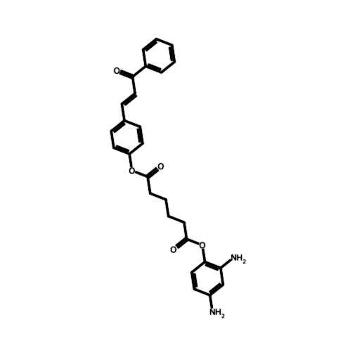 Nc1ccc(OC(=O)CCCCC(=O)Oc2ccc(C=CC(=O)c3ccccc3)cc2)c(N)c1